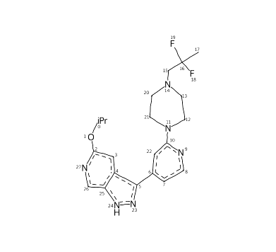 CC(C)Oc1cc2c(-c3ccnc(N4CCN(CC(C)(F)F)CC4)c3)n[nH]c2cn1